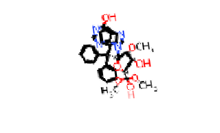 CO[C@@H]1[C@H](O)[C@@H](C(O)(OC)OC)O[C@]1(n1cnc2c(O)ncnc21)C(c1ccccc1)(c1ccccc1)c1ccccc1